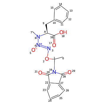 CC(O/N=[N+](\[O-])N(C)[C@@H](Cc1ccccc1)C(=O)O)N1C(=O)c2ccccc2C1=O